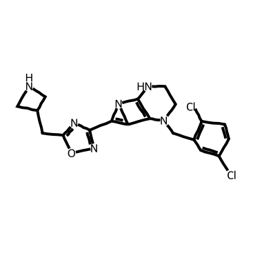 Clc1ccc(Cl)c(CN2CCNc3c2c2c(-c4noc(CC5CNC5)n4)n3-2)c1